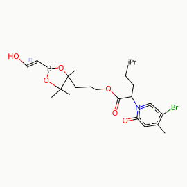 Cc1cc(=O)n(C(CCC(C)C)C(=O)OCCCC2(C)OB(/C=C/O)OC2(C)C)cc1Br